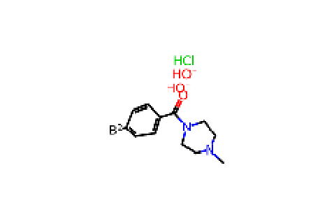 Cl.[B+2]c1ccc(C(=O)N2CCN(C)CC2)cc1.[OH-].[OH-]